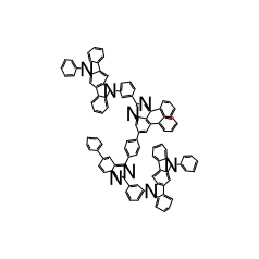 c1ccc(-c2ccc3nc(-c4cccc(-n5c6ccccc6c6cc7c(cc65)c5ccccc5n7-c5ccccc5)c4)nc(-c4ccc(-c5cc(-c6ccccc6)c6c(-c7ccccc7)nc(-c7cccc(-n8c9ccccc9c9cc%10c(cc98)c8ccccc8n%10-c8ccccc8)c7)nc6c5)cc4)c3c2)cc1